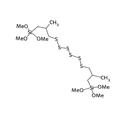 CO[Si](CC(C)CSSSSSSCC(C)C[Si](OC)(OC)OC)(OC)OC